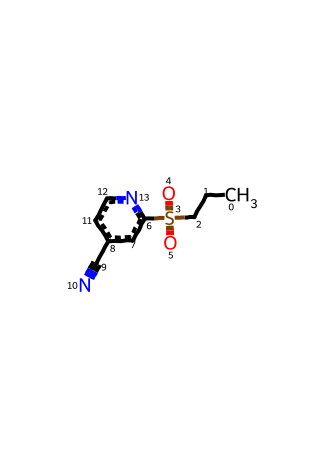 CCCS(=O)(=O)c1cc(C#N)ccn1